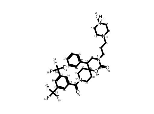 CN1CCN(CCCN2CC(c3ccccc3)C3(CCN(C(=O)c4cc(C(F)(F)F)cc(C(F)(F)F)c4)CC3)OC2=O)CC1